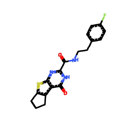 O=C(NCCc1ccc(F)cc1)c1nc2sc3c(c2c(=O)[nH]1)CCC3